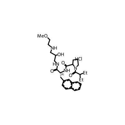 CCC(CC)C(=O)N1CCCC1C(=O)N[C@H](Cc1ccc2ccccc2c1)C(=O)NCC(O)CNCCOC.Cl